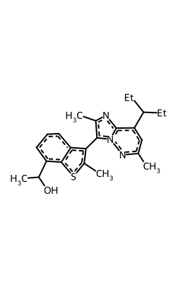 CCC(CC)c1cc(C)nn2c(-c3c(C)sc4c(C(C)O)cccc34)c(C)nc12